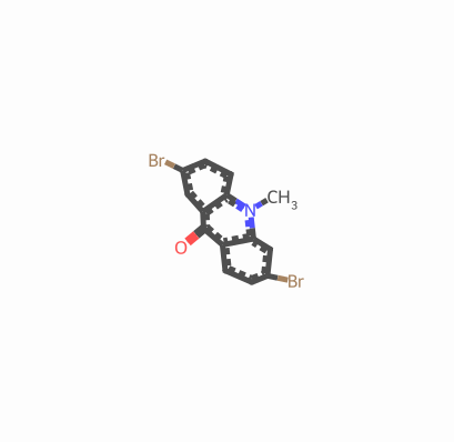 Cn1c2ccc(Br)cc2c(=O)c2ccc(Br)cc21